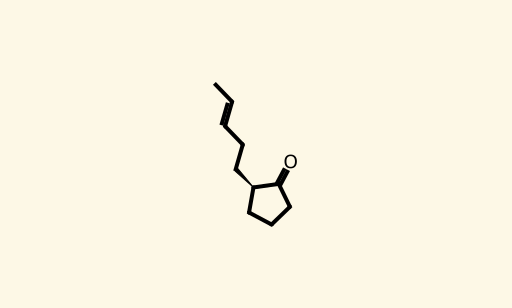 C/C=C/CC[C@@H]1CCCC1=O